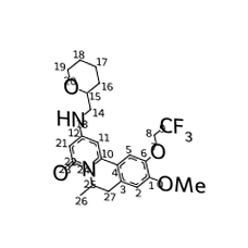 COc1cc2c(cc1OCC(F)(F)F)-c1cc(NCC3CCCCO3)cc(=O)n1C(C)C2